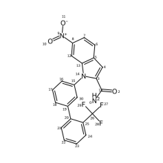 NC(=O)c1cc2ccc([N+](=O)[O-])cc2n1-c1cccc(-c2ccccc2C(F)(F)F)c1